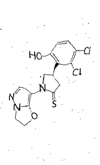 Oc1ccc(Cl)c(Cl)c1[C@H]1CC(=S)N(c2cnn3c2OCC3)C1